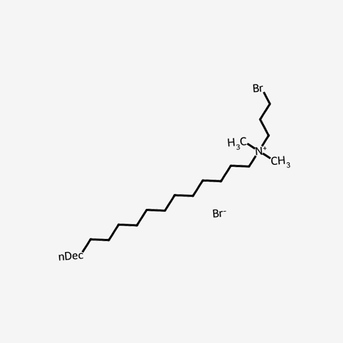 CCCCCCCCCCCCCCCCCCCCCC[N+](C)(C)CCCBr.[Br-]